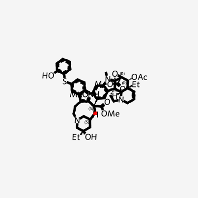 CC[C@]1(O)C[C@H]2CN(CCc3c([nH]c4ccc(Sc5ccccc5O)cc34)[C@@](C(=O)OC)(c3cc4c(cc3OC)N(C)[C@@]35O[C@]3(C(=O)OC)[C@H](OC(C)=O)[C@]3(CC)C=CCN6CC[C@]45[C@@H]63)C2)C1